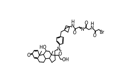 CN(CC1(C(=O)CO)CCC2C3CCC4=CC(=O)C=CC4(C)C3C(O)CC21C)c1ccc(CC23CC(NC(=O)/C=N/C(=O)CNC(=O)CBr)(C2)C3)cc1